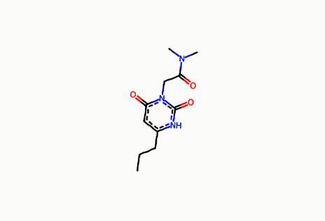 CCCc1cc(=O)n(CC(=O)N(C)C)c(=O)[nH]1